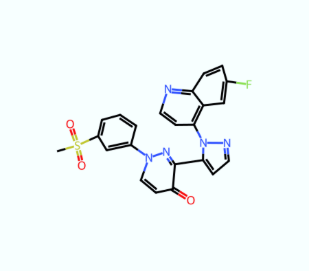 CS(=O)(=O)c1cccc(-n2ccc(=O)c(-c3ccnn3-c3ccnc4ccc(F)cc34)n2)c1